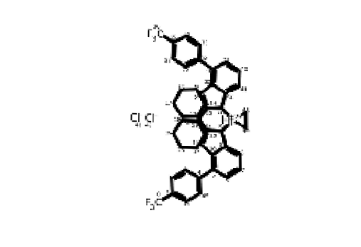 FC(F)(F)c1ccc(-c2cccc3c2C=C(C2CCCCC2)[CH]3[Hf+2]2([CH]3C(C4CCCCC4)=Cc4c(-c5ccc(C(F)(F)F)cc5)cccc43)[CH2][CH2]2)cc1.[Cl-].[Cl-]